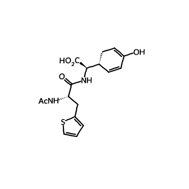 CC(=O)N[C@@H](Cc1cccs1)C(=O)N[C@@H](C(=O)O)[C@H]1C=CC(O)=CC1